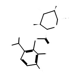 Cc1ccc(C(C)C)c(OC(=O)[C@H]2O[C@@H](O)[C@H](O)[C@@H](O)[C@@H]2O)c1Cl